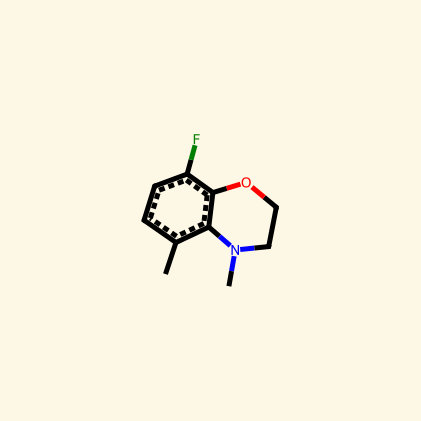 Cc1ccc(F)c2c1N(C)CCO2